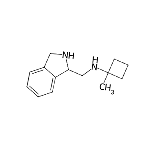 CC1(NCC2NCc3ccccc32)CCC1